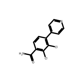 NC(=O)c1ccc(-c2ccncc2)c(Cl)c1Cl